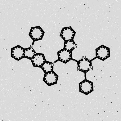 c1ccc(-c2nc(-c3ccccc3)nc(-c3cc(-n4c5ccccc5c5cc6c7ccccc7n(-c7ccccc7)c6cc54)cc4c3sc3ccccc34)n2)cc1